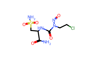 NC(=O)C(CS(N)(=O)=O)NC(=O)N(CCCl)N=O